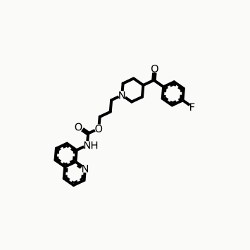 O=C(Nc1cccc2cccnc12)OCCCN1CCC(C(=O)c2ccc(F)cc2)CC1